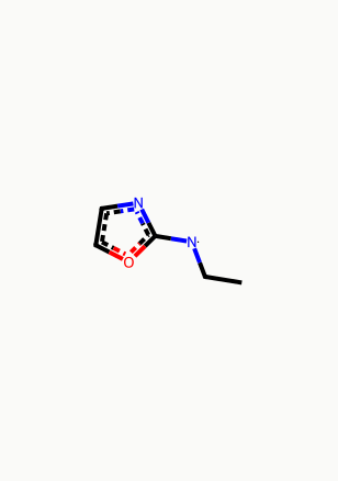 CC[N]c1ncco1